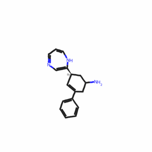 NC1CC(c2ccccc2)=C[C@@H](C2=CN=CC=CN2)C1